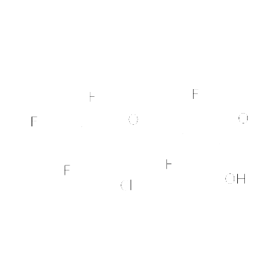 O=C(O)C(F)(F)OC(Cl)C(F)(F)F